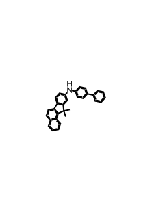 CC1(C)c2cc(Nc3ccc(-c4ccccc4)cc3)ccc2-c2ccc3ccccc3c21